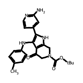 Cc1ccc(Nc2c(-c3ccnc(N)c3)[nH]c3c2C(=O)CN(C(=O)OC(C)(C)C)C3)cc1